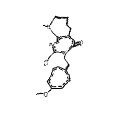 COc1ccc(Cn2c(Cl)nc3c(c2=O)CCCN3C)cc1